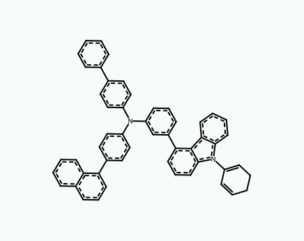 C1=CC(n2c3ccccc3c3c(-c4cccc(N(c5ccc(-c6ccccc6)cc5)c5ccc(-c6cccc7ccccc67)cc5)c4)cccc32)=CCC1